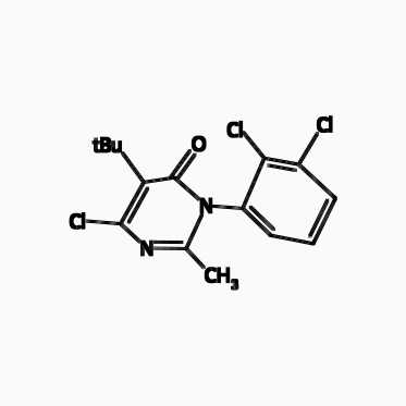 Cc1nc(Cl)c(C(C)(C)C)c(=O)n1-c1cccc(Cl)c1Cl